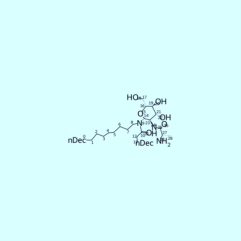 CCCCCCCCCCCCCCCCCCN(C(=O)CCCCCCCCCCC)[C@@H]1O[C@H](CO)[C@@H](O)[C@H](O)[C@H]1NC(=O)[C@H](C)N